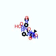 O=C(O)Nc1cc(N2CCOCC2)ccc1NC(=O)Cc1nc2c(c(=O)[nH]c(=O)n2C2CC2)n1Cc1ccccc1